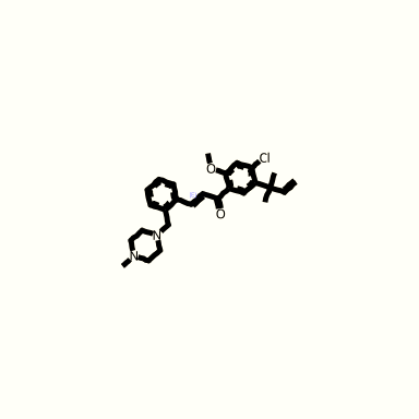 C=CC(C)(C)c1cc(C(=O)/C=C/c2ccccc2CN2CCN(C)CC2)c(OC)cc1Cl